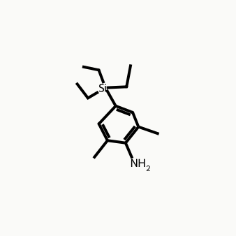 CC[Si](CC)(CC)c1cc(C)c(N)c(C)c1